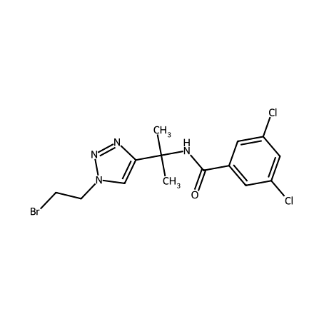 CC(C)(NC(=O)c1cc(Cl)cc(Cl)c1)c1cn(CCBr)nn1